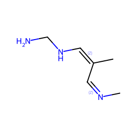 C/N=C\C(C)=C/NCN